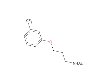 CC(=O)NCCCOc1cccc(C(F)(F)F)c1